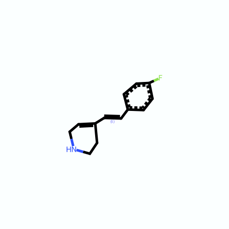 Fc1ccc(/C=C/C2=CCNCC2)cc1